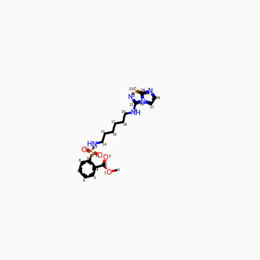 COC(=O)c1ccccc1S(=O)(=O)NCCCCCCNc1nsc2nccn12